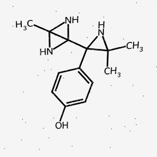 CC1(C)NC1(c1ccc(O)cc1)C12NC1(C)N2